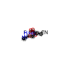 N#Cc1cccc(-c2ccc(C(CC(=O)OC(=O)C(F)(F)F)NC(=O)c3cccc(OCCCNc4ccccn4)c3)cc2)c1